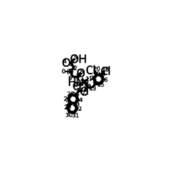 C[C@@H](CC(=O)O)CC(=O)N[C@@H](C)[C@@H](Cc1ccc(Cl)c(Cl)c1)OC(=O)c1ccc2ccccc2c1